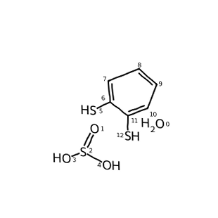 O.O=S(O)O.Sc1ccccc1S